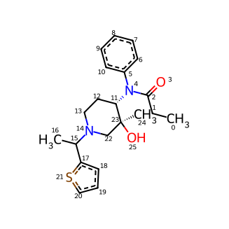 CCC(=O)N(c1ccccc1)[C@H]1CCN(C(C)c2cccs2)C[C@]1(C)O